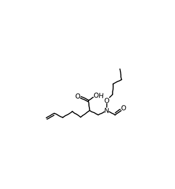 C=CCCCC(CN(C=O)OCCCC)C(=O)O